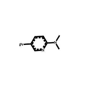 CC(C)c1ccc(N(C)C)nc1